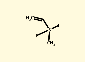 C=C[Si](C)(I)I